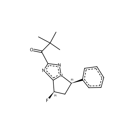 CC(C)(C)C(=O)c1nc2n(n1)[C@@H](c1ccccc1)C[C@H]2F